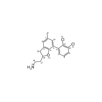 Cc1cc2c(c(-c3cccc(Cl)c3Cl)c1)OC(CCN)C2